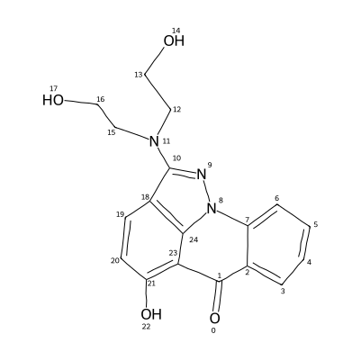 O=c1c2ccccc2n2nc(N(CCO)CCO)c3ccc(O)c1c32